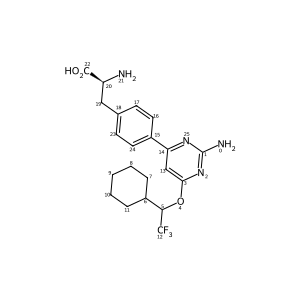 Nc1nc(OC(C2CCCCC2)C(F)(F)F)cc(-c2ccc(C[C@H](N)C(=O)O)cc2)n1